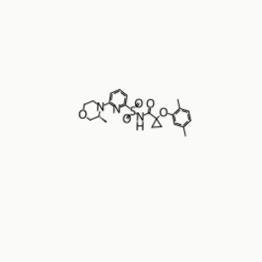 Cc1ccc(C)c(OC2(C(=O)NS(=O)(=O)c3cccc(N4CCOC[C@@H]4C)n3)CC2)c1